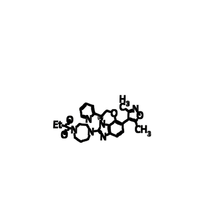 CCS(=O)(=O)N1CCCN(c2nc3ccc(-c4c(C)noc4C)c4c3n2[C@@H](c2ccccn2)CO4)CC1